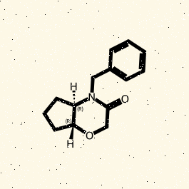 O=C1CO[C@@H]2CCC[C@H]2N1Cc1ccccc1